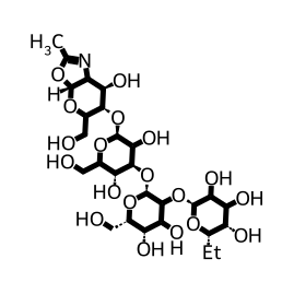 CC[C@@H]1O[C@H](OC2C(O)[C@H](O)[C@H](CO)O[C@@H]2O[C@@H]2C(O)[C@H](O[C@@H]3C(CO)O[C@@H]4OC(C)=NC4[C@H]3O)OC(CO)[C@H]2O)C(O)C(O)[C@@H]1O